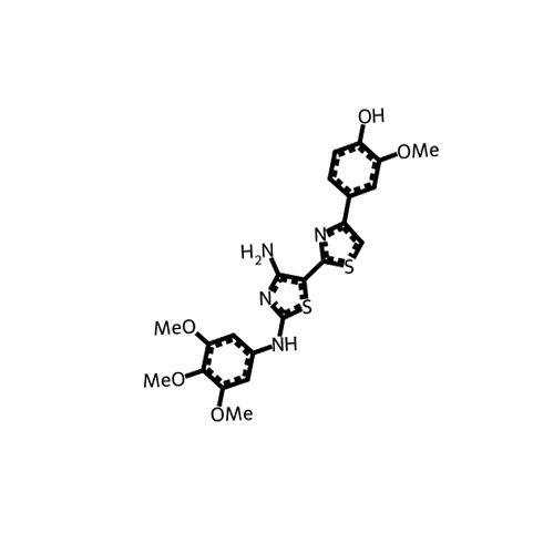 COc1cc(-c2csc(-c3sc(Nc4cc(OC)c(OC)c(OC)c4)nc3N)n2)ccc1O